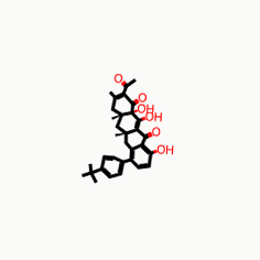 CC(=O)C1=C(C)C[C@@]2(C)C[C@@]3(C)Cc4c(-c5ccc(C(C)(C)C)cc5)ccc(O)c4C(=O)C3=C(O)[C@@]2(O)C1=O